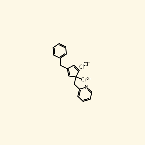 [Cl-].[Cl-].[Cr+2][C]1(Cc2ccccn2)C=CC(Cc2ccccc2)=C1